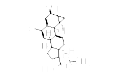 CC(=O)O[C@]1(C(C)=O)CC[C@H]2[C@@H]3C=C(Cl)C4=CC(=O)[C@@H]5C[C@@H]5[C@]4(C)C3=CC[C@@]21C